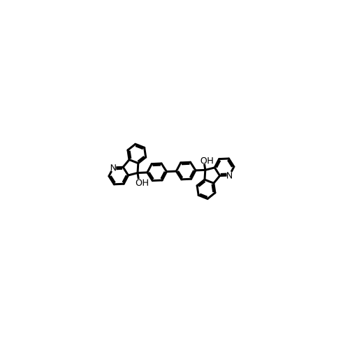 OC1(c2ccc(-c3ccc(C4(O)c5ccccc5-c5ncccc54)cc3)cc2)c2ccccc2-c2ncccc21